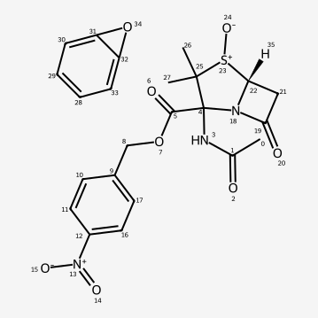 CC(=O)NC1(C(=O)OCc2ccc([N+](=O)[O-])cc2)N2C(=O)C[C@H]2[S+]([O-])C1(C)C.c1ccc2c(c1)O2